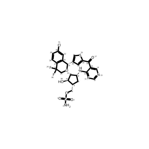 NS(=O)(=O)OC[C@H]1C[C@@H](Nc2ncncc2C(=O)c2cc([C@@H]3OCC(F)(F)c4ccc(Cl)cc43)cs2)C[C@@H]1O